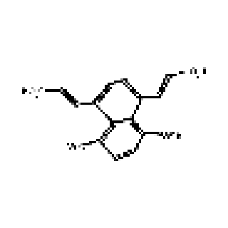 COc1ccc(OC)c2c(/C=C/C(=O)O)ccc(/C=C/C(=O)O)c12